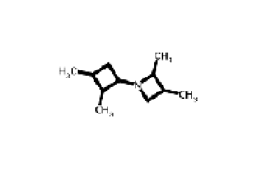 CC1CC(N2CC(C)C2C)C1C